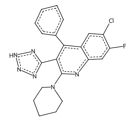 Fc1cc2nc(N3CCCCC3)c(-c3nn[nH]n3)c(-c3ccccc3)c2cc1Cl